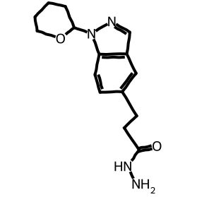 NNC(=O)CCc1ccc2c(cnn2C2CCCCO2)c1